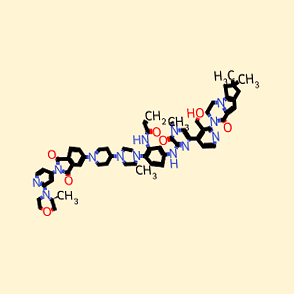 C=CC(=O)Nc1cc(Nc2nc(-c3ccnc(N4CCn5c(cc6c5CC(C)(C)C6)C4=O)c3CO)cn(C)c2=O)ccc1N1CCN(C2CCN(c3ccc4c(c3)C(=O)N(c3ccnc(N5CCOC[C@H]5C)c3)C4=O)CC2)C[C@@H]1C